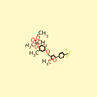 CCOC(=O)C(C)(C)Oc1ccc(OCc2cc(-c3ccc(C(F)(F)F)cc3)oc2C)cc1C